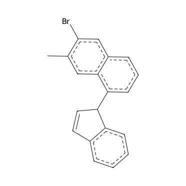 Cc1cc2c(C3C=Cc4ccccc43)cccc2cc1Br